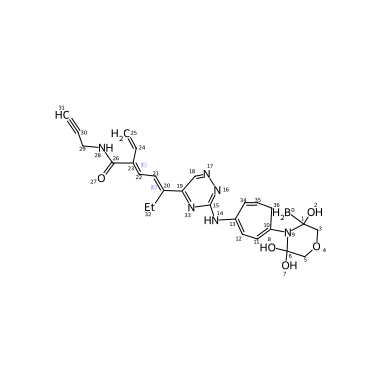 BC1(O)COCC(O)(O)N1C1=CC=C(Nc2nncc(/C(=C/C=C(\C=C)C(=O)NCC#C)CC)n2)C=CC1